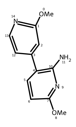 COc1cc(-c2ccc(OC)nc2N)ccn1